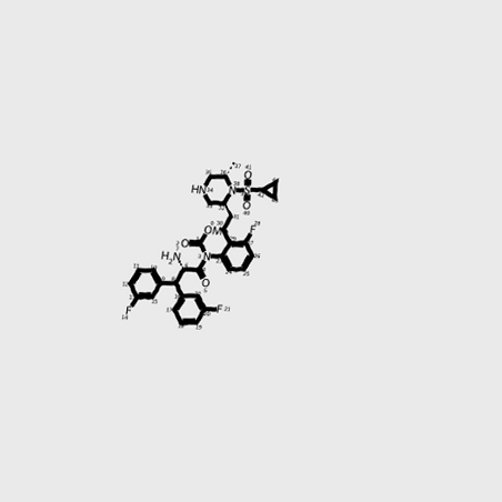 COC(=O)N(C(=O)[C@@H](N)C(c1cccc(F)c1)c1cccc(F)c1)c1cccc(F)c1CC[C@H]1CNC[C@H](C)N1S(=O)(=O)C1CC1